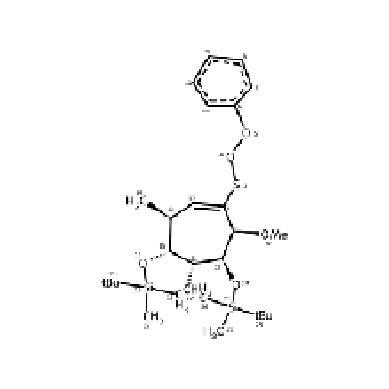 CO[C@@H]1C(SOOc2ccccc2)=C[C@H](C)[C@@H](O[Si](C)(C)C(C)(C)C)[C@@H](C)[C@@H]1O[Si](C)(C)C(C)(C)C